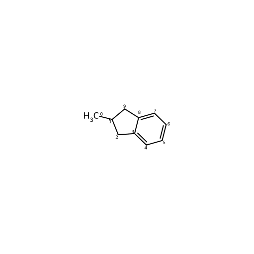 C[C]1Cc2ccccc2C1